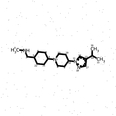 CNCC1CCC(N2CCC(n3cc(C(C)C)cn3)CC2)CC1